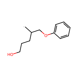 [CH2]C(CCCO)COc1ccccc1